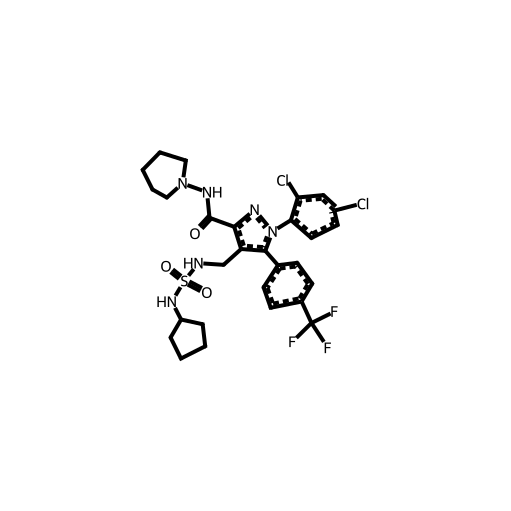 O=C(NN1CCCCC1)c1nn(-c2ccc(Cl)cc2Cl)c(-c2ccc(C(F)(F)F)cc2)c1CNS(=O)(=O)NC1CCCC1